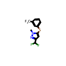 Cn1nc(C(F)F)cc1Sc1cccc(C(F)(F)F)c1